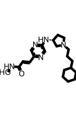 O=C(C=Cc1cnc(N[C@@H]2CCN(CCCC3CCCCC3)C2)cn1)NO